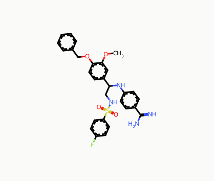 COc1cc(C(CNS(=O)(=O)c2ccc(F)cc2)Nc2ccc(C(=N)N)cc2)ccc1OCc1ccccc1